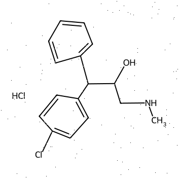 CNCC(O)C(c1ccccc1)c1ccc(Cl)cc1.Cl